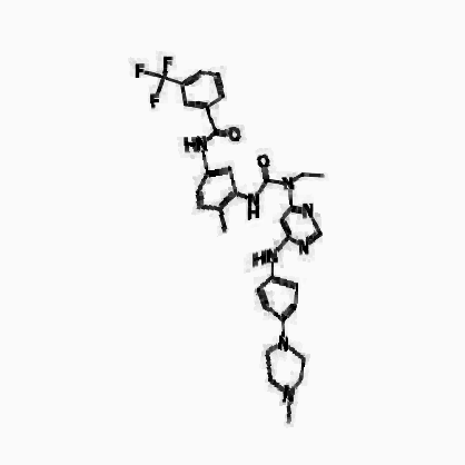 CCN(C(=O)Nc1cc(NC(=O)c2cccc(C(F)(F)F)c2)ccc1C)c1cc(Nc2ccc(N3CCN(C)CC3)cc2)ncn1